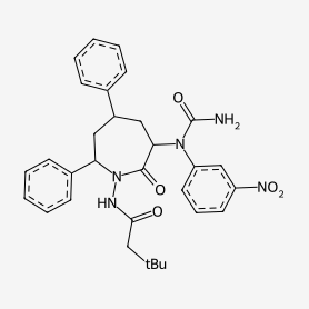 CC(C)(C)CC(=O)NN1C(=O)C(N(C(N)=O)c2cccc([N+](=O)[O-])c2)CC(c2ccccc2)CC1c1ccccc1